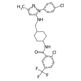 Cc1cc(NCC2CCC(NC(=O)c3cc(C(F)(F)F)ccc3Cl)CC2)n(-c2ccc(Cl)cc2)n1